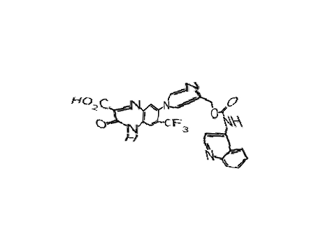 O=C(Nc1ccnc2ccccc12)OCc1cn(-c2cc3nc(C(=O)O)c(=O)[nH]c3cc2C(F)(F)F)cn1